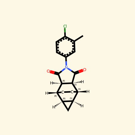 Cc1cc(N2C(=O)[C@@H]3[C@@H]4CC[C@@H]([C@H]5C[C@H]54)[C@@H]3C2=O)ccc1Cl